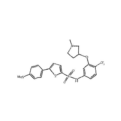 CSc1ccc(-c2ccc(S(=O)(=O)Nc3ccc(C(F)(F)F)c(OC4CCN(C)C4)c3)s2)cc1